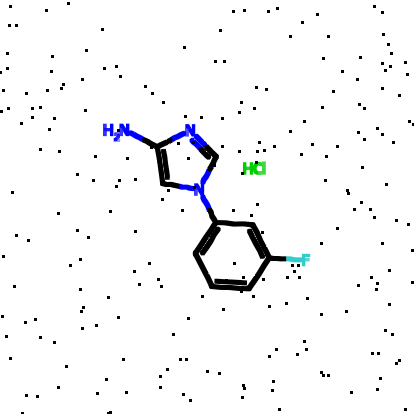 Cl.Nc1cn(-c2cccc(F)c2)cn1